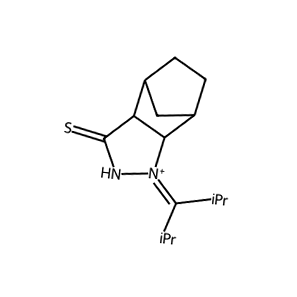 CC(C)C(C(C)C)=[N+]1NC(=S)C2C3CCC(C3)C21